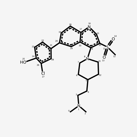 CN(C)CCC1CCN(c2c(S(C)(=O)=O)cnc3ccc(-c4ccc(O)c(Cl)c4)cc23)CC1